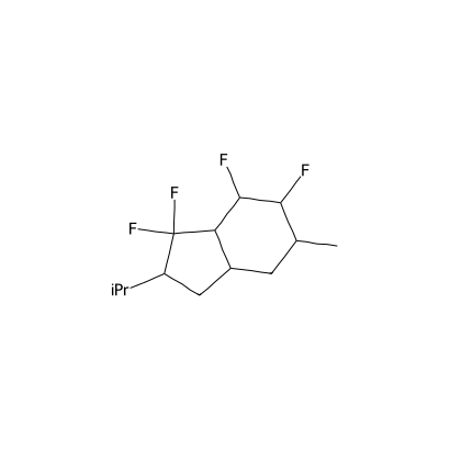 CC(C)C1CC2CC(C)C(F)C(F)C2C1(F)F